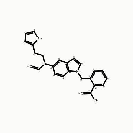 O=CN(CCc1cccs1)c1ccc2c(ccn2Cc2ccccc2C(=O)O)c1